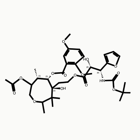 COc1ccc(OC)c(C(=O)O[C@H]2[C@@H](C)C(OC(C)=O)COC(C)C(C)(C)[C@@]2(O)CCOC(=O)[C@H](O)[C@@H](NC(=O)OC(C)(C)C)c2ccco2)c1